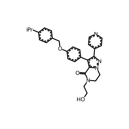 CC(C)c1ccc(COc2ccc(-c3c(-c4ccncc4)nn4c3C(=O)N(CCO)CC4)cc2)cc1